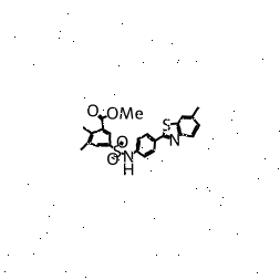 COC(=O)c1cc(S(=O)(=O)Nc2ccc(-c3nc4ccc(C)cc4s3)cc2)cc(C)c1C